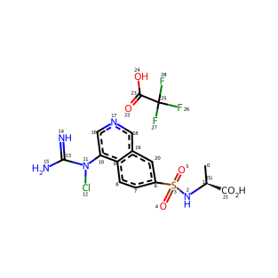 C[C@H](NS(=O)(=O)c1ccc2c(N(Cl)C(=N)N)cncc2c1)C(=O)O.O=C(O)C(F)(F)F